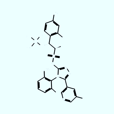 COc1cccc(OC)c1-n1c(NS(=O)(=O)[C@H](C)[C@H](O[Si](C)(C)C(C)(C)C)c2ccc(C#N)cc2F)nnc1-c1cncc(C)c1